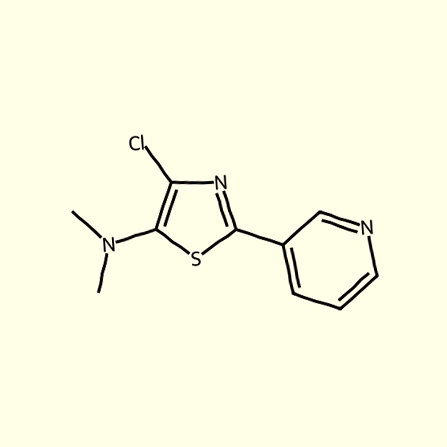 CN(C)c1sc(-c2cccnc2)nc1Cl